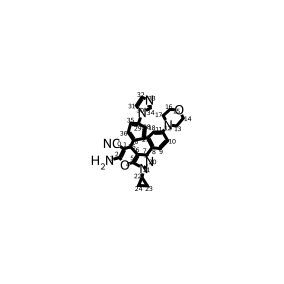 N#CC1=C(N)Oc2c(c(-c3ccc(N4CCOCC4)cc3)nn2C2CC2)C1c1ccc(-n2ccnc2)cc1